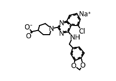 O=C([O-])C1CCN(c2nc(NCc3ccc4c(c3)OCO4)c3c(Cl)cccc3n2)CC1.[Na+]